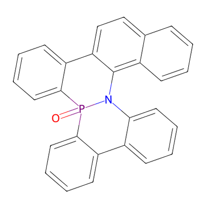 O=P12c3ccccc3-c3ccccc3N1c1c(ccc3ccccc13)-c1ccccc12